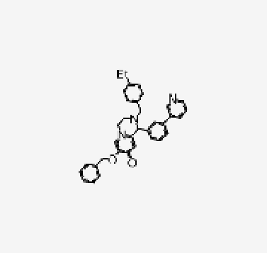 CCc1ccc(CN2CCn3cc(OCc4ccccc4)c(=O)cc3C2c2cccc(-c3cccnc3)c2)cc1